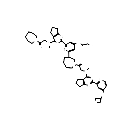 CN(CC(=O)N1CCCCC(c2cc(OCCO)cc(-c3nc4c(c(N(C)CC(=O)N5CCCCCC5)n3)CCC4)n2)C1)c1nc(-c2cc(OC3COC3)ccn2)nc2c1CCC2